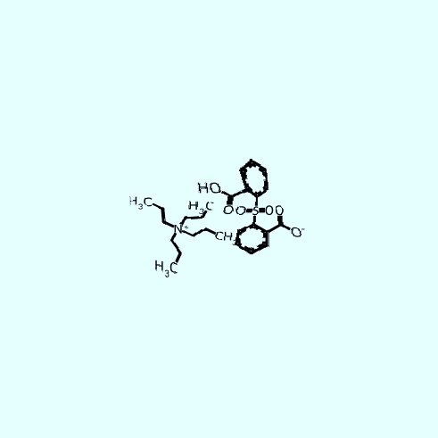 CCC[N+](CCC)(CCC)CCC.O=C([O-])c1ccccc1S(=O)(=O)c1ccccc1C(=O)O